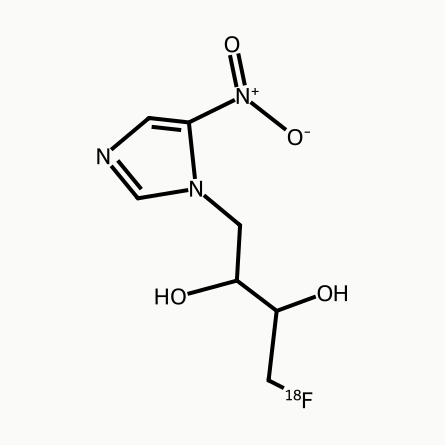 O=[N+]([O-])c1cncn1CC(O)C(O)C[18F]